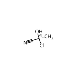 C[C@](O)(Cl)C#N